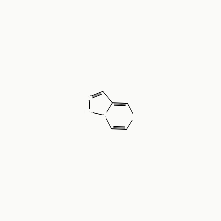 C1=CN2NN=CC2=CO1